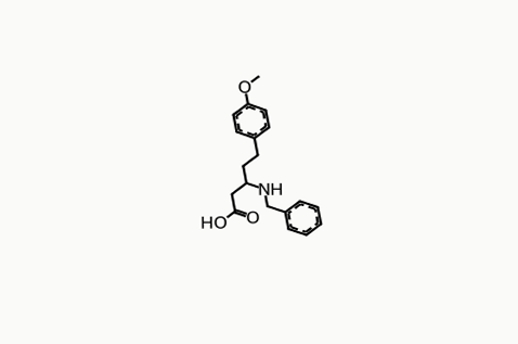 COc1ccc(CCC(CC(=O)O)NCc2ccccc2)cc1